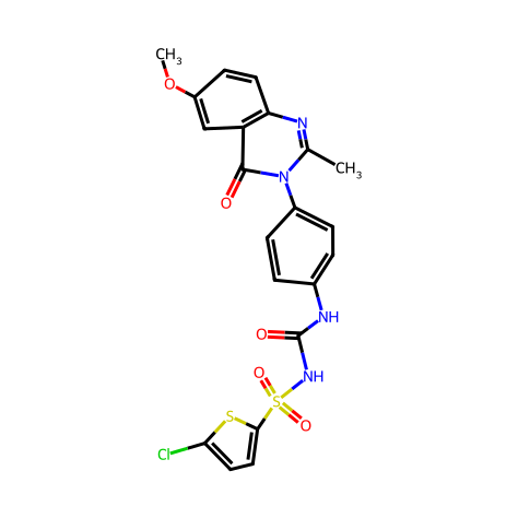 COc1ccc2nc(C)n(-c3ccc(NC(=O)NS(=O)(=O)c4ccc(Cl)s4)cc3)c(=O)c2c1